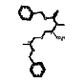 C[C@@H](COC[C@@H](C(=O)O)N(C)C(=O)OCc1ccccc1)OCc1ccccc1